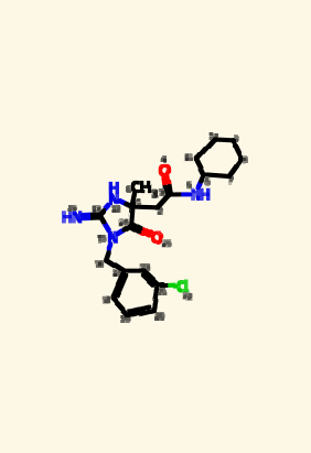 CC1(CC(=O)NC2CCCCC2)NC(=N)N(Cc2cccc(Cl)c2)C1=O